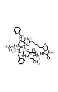 CC(C)C[C@H](NC(=O)[C@H](CCc1ccccc1)NC(=O)CCCCC1SCC2NC(=O)NC21)C(=O)N[C@@H](Cc1ccccc1)C(=O)N[C@@H](CC(C)C)C(=O)[C@@]1(C)CO1